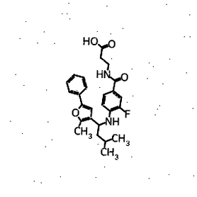 Cc1oc(-c2ccccc2)cc1C(CC(C)C)Nc1ccc(C(=O)NCCC(=O)O)cc1F